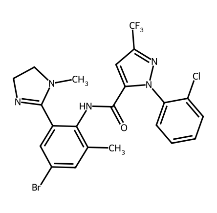 Cc1cc(Br)cc(C2=NCCN2C)c1NC(=O)c1cc(C(F)(F)F)nn1-c1ccccc1Cl